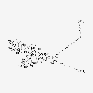 CCCCCCCC/C=C\CCCCCCCCCCCCCCCC(=O)N[C@@H](CO[C@@H]1OC(CO)[C@@H](O[C@@H]2OC(CO)[C@H](O[C@@H]3OC(CO[C@]4(C(=O)O)CC(O)[C@@H](O)C([C@H](O)[C@H](O)CO)O4)[C@H](O)[C@H](O[C@@H]4OC(CO)[C@H](O)[C@H](O[C@]5(C(=O)O)CC(O)[C@@H](O)C([C@H](O)[C@H](O)CO)O5)C4O)C3NC(C)=O)[C@H](O)C2O)[C@H](O)C1O)[C@H](O)/C=C/CCCCCCCCCCCCC